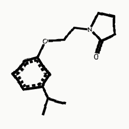 CC(C)c1cccc(OCCN2CCCC2=O)c1